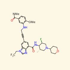 CNC(=O)c1ccc(OC)c(NCC#Cc2cc(C(=O)N[C@@H]3[C@@H](C)CN(C4CCOCC4)C[C@@H]3F)c3ncn(CC(F)(F)F)c3c2)c1